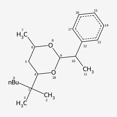 CCCCC(C)(C)C1CC(C)OC(C(C)c2ccccc2)O1